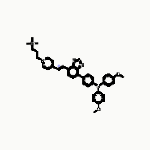 COc1ccc(N(c2ccc(OC)cc2)c2ccc(-c3ccc(/C=C/c4cc[n+](CCC[N+](C)(C)C)cc4)c4nsnc34)cc2)cc1